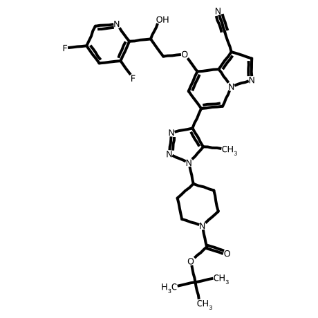 Cc1c(-c2cc(OCC(O)c3ncc(F)cc3F)c3c(C#N)cnn3c2)nnn1C1CCN(C(=O)OC(C)(C)C)CC1